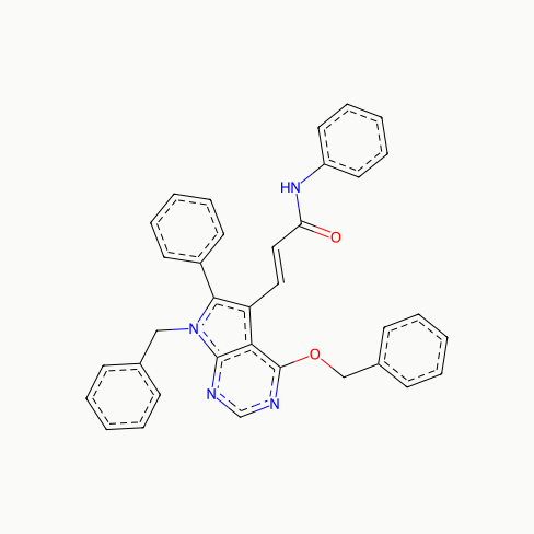 O=C(/C=C/c1c(-c2ccccc2)n(Cc2ccccc2)c2ncnc(OCc3ccccc3)c12)Nc1ccccc1